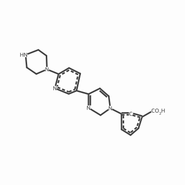 O=C(O)c1cccc(N2C=CC(c3ccc(N4CCNCC4)nc3)=NC2)c1